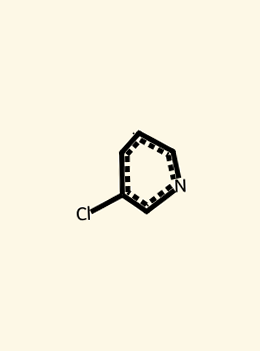 Clc1c[c]cnc1